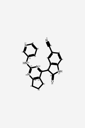 N#Cc1ccc2c(c1)C(c1nc(Nc3cccnc3)nc3c1CCC3)C(=O)N2